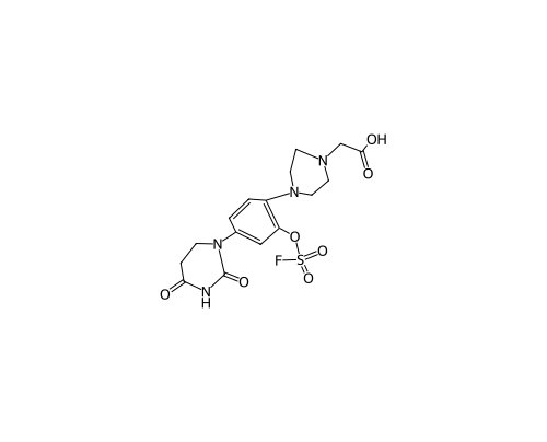 O=C(O)CN1CCN(c2ccc(N3CCC(=O)NC3=O)cc2OS(=O)(=O)F)CC1